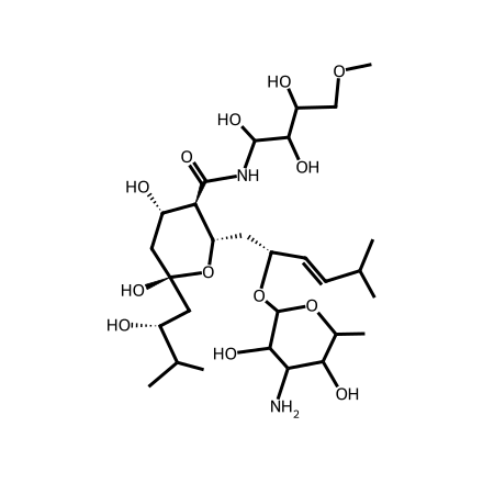 COCC(O)C(O)C(O)NC(=O)[C@H]1[C@H](C[C@H](/C=C/C(C)C)OC2OC(C)C(O)C(N)C2O)O[C@](O)(C[C@@H](O)C(C)C)C[C@@H]1O